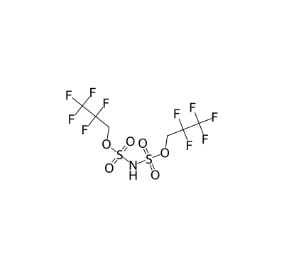 O=S(=O)(NS(=O)(=O)OCC(F)(F)C(F)(F)F)OCC(F)(F)C(F)(F)F